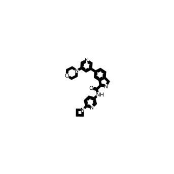 O=C(Nc1ccc(N2CCC2)nc1)C1=NCc2ccc(-c3cncc(N4CCOCC4)c3)cc21